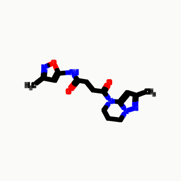 Cc1cc(NC(=O)CCC(=O)N2CCCn3nc(C)cc32)on1